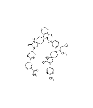 CN(C)C1(c2ccccc2)CCC2(CC1)CN(c1cnc(-c3cccc(C(N)=O)c3)nc1)C(=O)N2.CN(CC1CC1)C1(c2ccccc2)CCC2(CC1)CN(c1cnc(C(F)(F)F)nc1)C(=O)N2